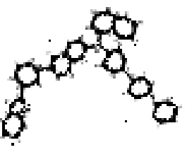 c1ccc(-c2ccc(-c3ccc(N(c4ccc5cc(-c6cccc(-c7cc8ccccc8o7)c6)ccc5c4)c4cccc5ccccc45)cc3)cc2)cc1